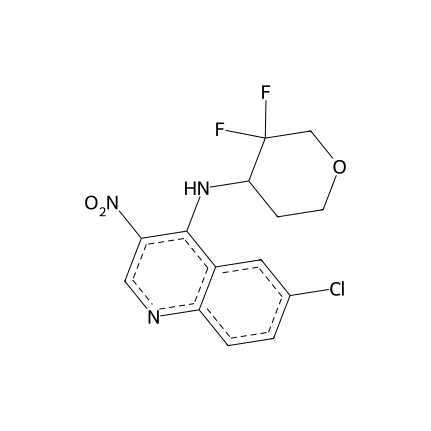 O=[N+]([O-])c1cnc2ccc(Cl)cc2c1NC1CCOCC1(F)F